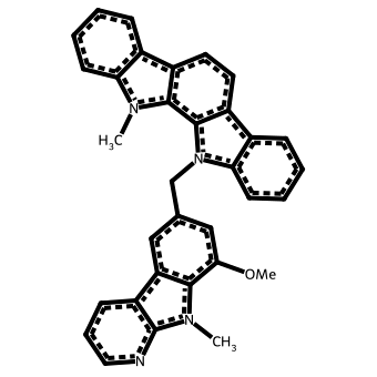 COc1cc(Cn2c3ccccc3c3ccc4c5ccccc5n(C)c4c32)cc2c3cccnc3n(C)c12